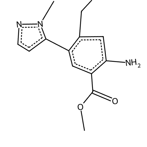 CCc1cc(N)c(C(=O)OC)cc1-c1ccnn1C